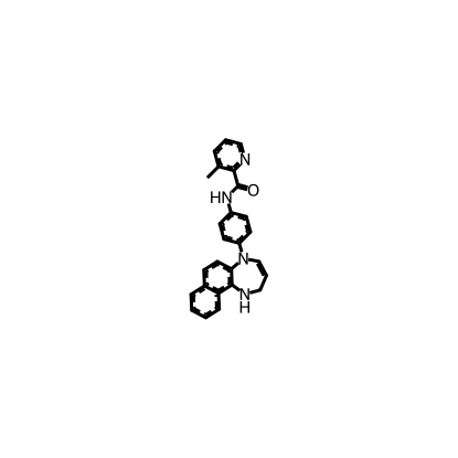 Cc1cccnc1C(=O)Nc1ccc(N2C=CCNc3c2ccc2ccccc32)cc1